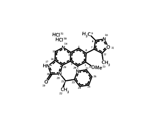 COc1cc2c(cc1-c1c(C)noc1C)ncc1[nH]c(=O)n([C@H](C)c3ccccn3)c12.Cl.Cl